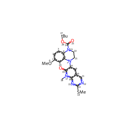 COc1ccc2c(c1)N(c1cc3cnc(SC)nc3n(C)c1=O)CCN2C(=O)OC(C)(C)C